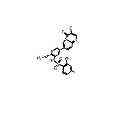 COc1ncc(-c2ccc3ncc(F)c(=O)n3c2)cc1NS(=O)(=O)c1ccc(F)cc1C